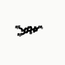 CCCOc1cc2occ(-c3nc(C)cs3)c(=O)c2cc1CC